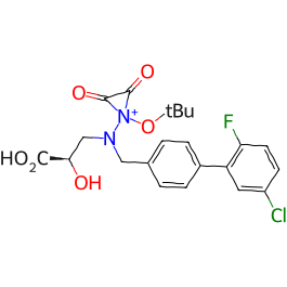 CC(C)(C)O[N+]1(N(Cc2ccc(-c3cc(Cl)ccc3F)cc2)C[C@@H](O)C(=O)O)C(=O)C1=O